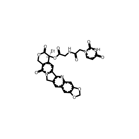 CC[C@@]1(OC(=O)CNC(=O)Cn2ccc(=O)[nH]c2=O)C(=O)OCc2c1cc1n(c2=O)Cc2cc3cc4c(cc3nc2-1)OCO4